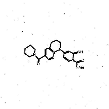 CNC(=O)n1ccc(N2CCCc3cc(C(=O)N4CCCC[C@H]4C)cnc32)cc1=N